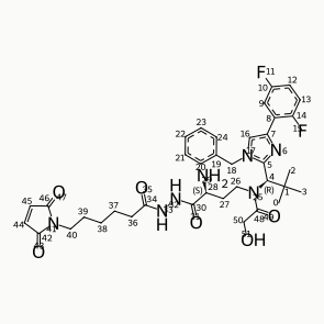 CC(C)(C)[C@H](c1nc(-c2cc(F)ccc2F)cn1Cc1ccccc1)N(CC[C@H](N)C(=O)NNC(=O)CCCCCN1C(=O)C=CC1=O)C(=O)CO